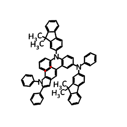 CC1(C)c2ccccc2-c2ccc(N(c3ccccc3)c3ccc(N(c4ccccc4)c4ccc5c(c4)C(C)(C)c4ccccc4-5)c(-c4ccc5c(c4)cc(-c4ccccc4)n5-c4ccccc4)c3)cc21